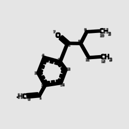 [CH]=Cc1ccc(C(=O)C(CC)CC)cc1